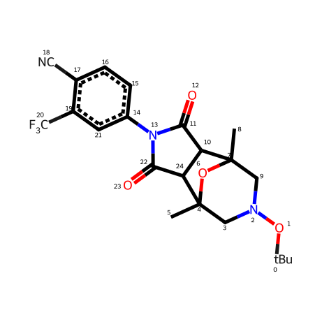 CC(C)(C)ON1CC2(C)OC(C)(C1)C1C(=O)N(c3ccc(C#N)c(C(F)(F)F)c3)C(=O)C12